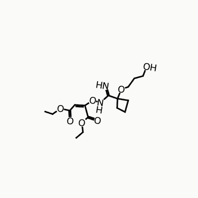 CCOC(=O)/C=C(/ONC(=N)C1(OCCCO)CCC1)C(=O)OCC